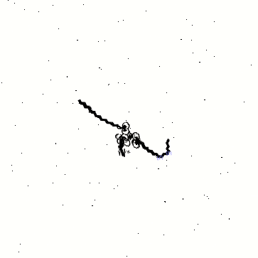 CCCC/C=C\C/C=C\CCCCCCCC(=O)O[C@H](COC(=O)CCCCCCCCCCCCCCCC)COP(=O)([O-])OCC[N+](C)(C)C